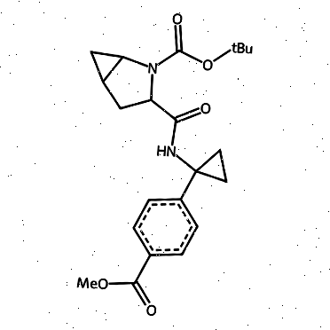 COC(=O)c1ccc(C2(NC(=O)C3CC4CC4N3C(=O)OC(C)(C)C)CC2)cc1